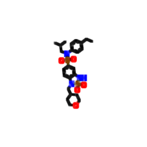 CCc1ccc(N(CC(C)C)S(=O)(=O)c2ccc3c(c2)NS(=O)(=O)N3CC2CCOCC2)cc1